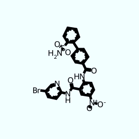 NS(=O)(=O)c1ccccc1-c1ccc(C(=O)Nc2ccc([N+](=O)[O-])cc2C(=O)Nc2ccc(Br)cn2)cc1